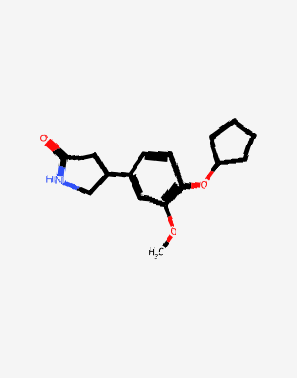 COc1cc(C2CNC(=O)C2)ccc1OC1CCCC1